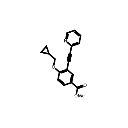 COC(=O)c1ccc(OCC2CC2)c(C#Cc2ccccn2)c1